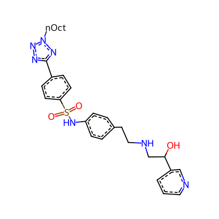 CCCCCCCCn1nnc(-c2ccc(S(=O)(=O)Nc3ccc(CCNCC(O)c4cccnc4)cc3)cc2)n1